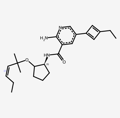 CC/C=C\C(C)(C)OC1CCC[C@@H]1NC(=O)c1cc(C2=CC(CC)=C2)cnc1N